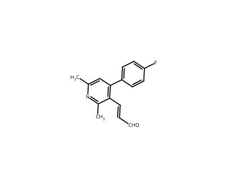 Cc1cc(-c2ccc(F)cc2)c(/C=C/C=O)c(C)n1